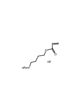 C=CC(=O)OCCCCCCCCC.F